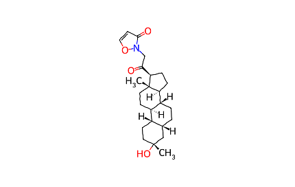 C[C@@]1(O)CC[C@H]2[C@H](CC[C@@H]3[C@@H]2CC[C@]2(C)[C@@H](C(=O)Cn4occc4=O)CC[C@@H]32)C1